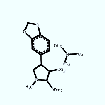 CCCCCC1C(C(=O)O)C(c2ccc3c(c2)OCO3)CN1C.CCCCN(C=O)CCCC